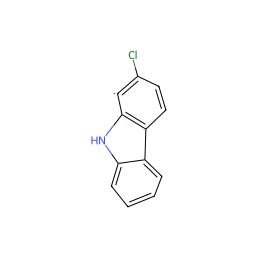 Clc1[c]c2[nH]c3ccccc3c2cc1